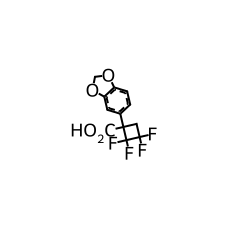 O=C(O)C1(c2ccc3c(c2)OCO3)CC(F)(F)C1(F)F